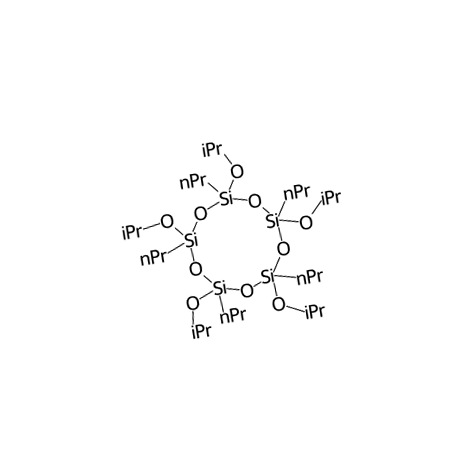 CCC[Si]1(OC(C)C)O[Si](CCC)(OC(C)C)O[Si](CCC)(OC(C)C)O[Si](CCC)(OC(C)C)O[Si](CCC)(OC(C)C)O1